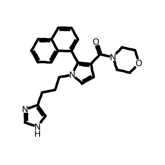 O=C(c1ccn(CCCc2c[nH]cn2)c1-c1cccc2ccccc12)N1CCOCC1